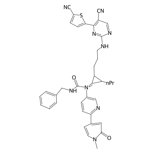 CCCC1/C(=[N+](/C(=O)NCc2ccccc2)c2ccc(-c3ccn(C)c(=O)c3)nc2)C1CCCNc1ncc(C#N)c(-c2ccc(C#N)s2)n1